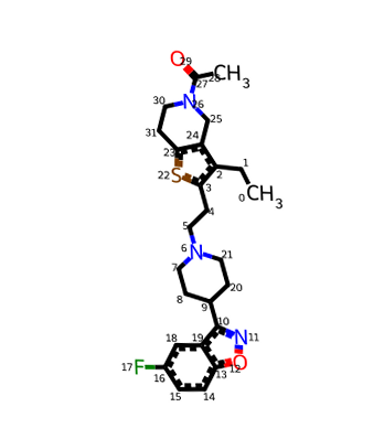 CCc1c(CCN2CCC(c3noc4ccc(F)cc34)CC2)sc2c1CN(C(C)=O)CC2